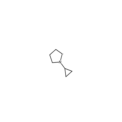 [CH]1CCCN1C1CC1